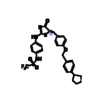 O=C1N=C(Nc2ccc(NS(=O)(=O)C(F)(F)F)cc2)S/C1=C\c1ccc(OCc2ccc(C3CCCC3)cc2)cc1